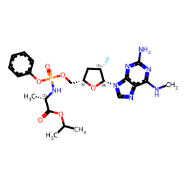 CNc1nc(N)nc2c1ncn2[C@@H]1O[C@H](COP(=O)(N[C@@H](C)C(=O)OC(C)C)Oc2ccccc2)C[C@@H]1F